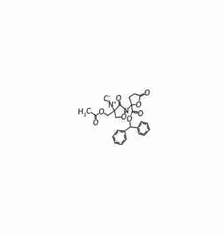 [C-]#[N+]C1(COC(C)=O)CON(C2(C(=O)OC(c3ccccc3)c3ccccc3)CCC(=O)O2)C1=O